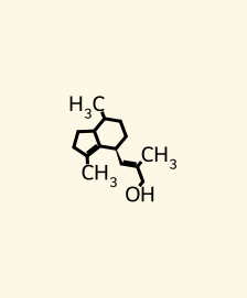 CC1=C2C(CC1)C(C)CC[C@H]2/C=C(\C)CO